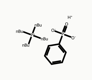 CCCC[P+](CCCC)(CCCC)CCCC.O=P([O-])([O-])c1ccccc1.[H+]